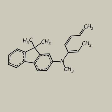 C=C/C=C\C(=C/C)N(C)c1ccc2c(c1)C(C)(C)c1ccccc1-2